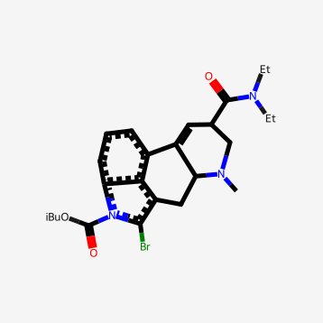 CCN(CC)C(=O)C1C=C2c3cccc4c3c(c(Br)n4C(=O)OCC(C)C)CC2N(C)C1